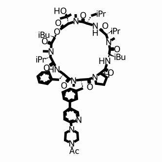 CC[C@H](C)[C@@H]1NC(=O)[C@@H]2CCCN2C(=O)[C@H](Cc2cccc(-c3ccc(N4CCN(C(C)=O)CC4)nc3)c2)N(C)C(=O)[C@H](Cc2ccccc2)NC(=O)[C@H](C(C)C)N(C)C(=O)[C@@H]([C@@H](C)CC)OC(=O)[C@H](C(C)(C)O)N(C)C(=O)[C@H](CC(C)C)NC(=O)[C@H](C(C)C)N(C)C1=O